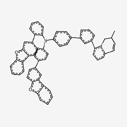 CC1C=Cc2cccc(-c3cccc(-c4ccc(N(c5ccc(-c6ccc7oc8ccccc8c7c6)cc5)c5ccccc5-c5ccc6c(c5)oc5ccccc56)cc4)c3)c2C1